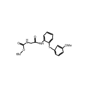 COc1cccc(Sc2ccccc2NC(=O)CNC(=O)OC(C)(C)C)c1